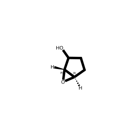 OC1CC[C@H]2O[C@H]12